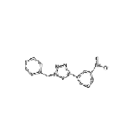 O=[N+]([O-])c1cccc(-c2cn(Cc3ccccc3)nn2)c1